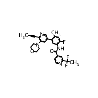 CC#Cc1ncc(-c2cc(NC(=O)c3ccnc(C(C)(F)F)c3)c(F)cc2C)cc1N1CCOCC1